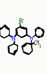 CC1(N(c2ccccc2)C2C=C(Br)C=C(N(C3C=CC=CC3)C3C=CCCC3)C2)C=CC=CC1